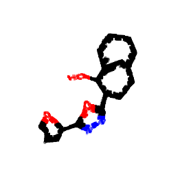 Oc1c(-c2nnc(-c3ccco3)o2)ccc2ccccc12